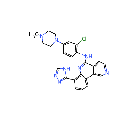 CN1CCN(c2ccc(Nc3nc4c(-c5nnc[nH]5)cccc4c4cnccc34)c(Cl)c2)CC1